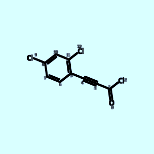 O=C(Cl)C#Cc1ccc(Cl)cc1Cl